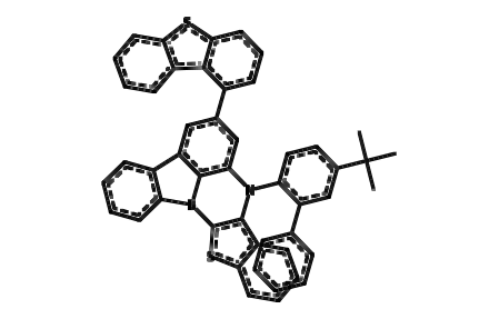 CC(C)(C)c1ccc(N2c3cc(-c4cccc5sc6ccccc6c45)cc4c3B(c3ccccc3-4)c3sc4ccccc4c32)c(-c2ccccc2)c1